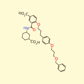 O=C(O)c1ccc(OCCCc2ccc(OCCCOCc3ccccc3)cc2)c(C(=O)NC2CCCC(C(=O)O)C2)c1